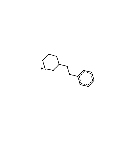 c1ccc(CCC2CCCNC2)cc1